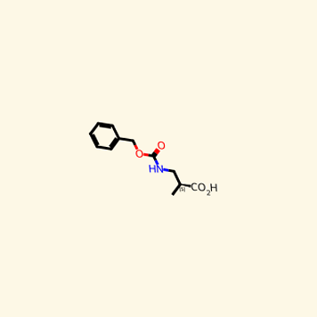 C[C@@H](CNC(=O)OCc1ccccc1)C(=O)O